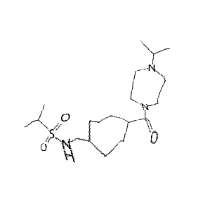 CC(C)N1CCN(C(=O)C2CCC(NS(=O)(=O)C(C)C)CC2)CC1